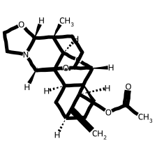 C=C1[C@H]2CC[C@]3([C@@H](C2)[C@]24CCC[C@]5(C)[C@H]2C[C@H]3O[C@H]4N2CCO[C@@H]25)[C@H]1OC(C)=O